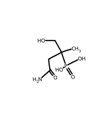 CC(CO)(CC(N)=O)P(=O)(O)O